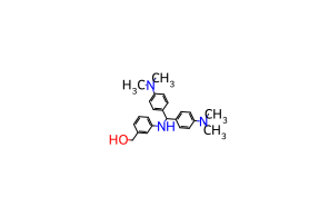 CN(C)c1ccc(C(Nc2cccc(CO)c2)c2ccc(N(C)C)cc2)cc1